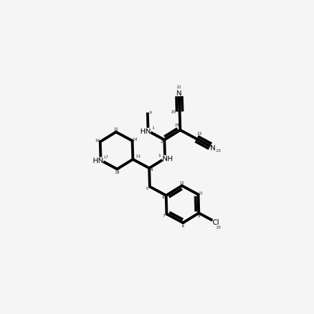 CNC(NC(Cc1ccc(Cl)cc1)C1CCCNC1)=C(C#N)C#N